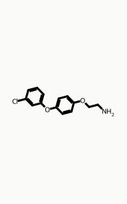 NCCOc1ccc(Oc2cccc(Cl)c2)cc1